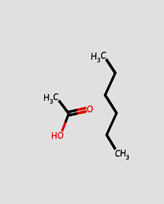 CC(=O)O.CCCCCC